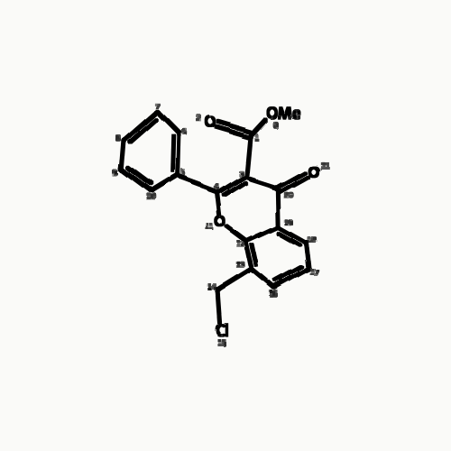 COC(=O)c1c(-c2ccccc2)oc2c(CCl)cccc2c1=O